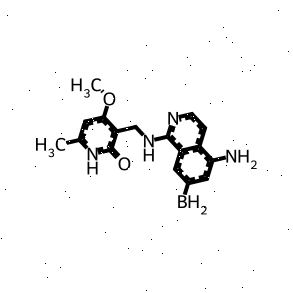 Bc1cc(N)c2ccnc(NCc3c(OC)cc(C)[nH]c3=O)c2c1